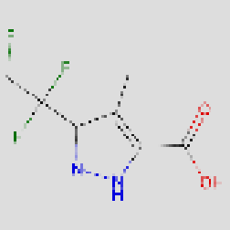 Cc1c(C(F)(F)CF)n[nH]c1C(=O)O